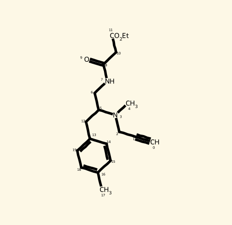 C#CCN(C)C(CNC(=O)CC(=O)OCC)Cc1ccc(C)cc1